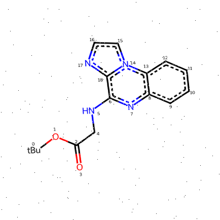 CC(C)(C)OC(=O)CNc1nc2ccccc2n2ccnc12